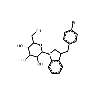 CCc1ccc(CC2CN(C3OC(CO)[C@@H](O)C(O)C3O)c3ccccc32)cc1